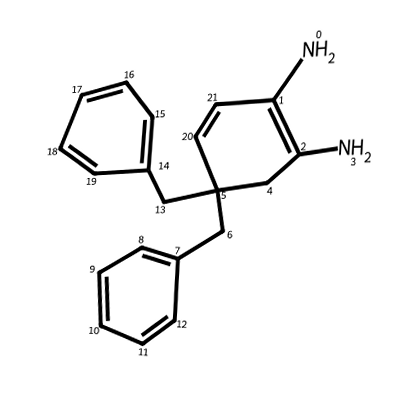 NC1=C(N)CC(Cc2ccccc2)(Cc2ccccc2)C=C1